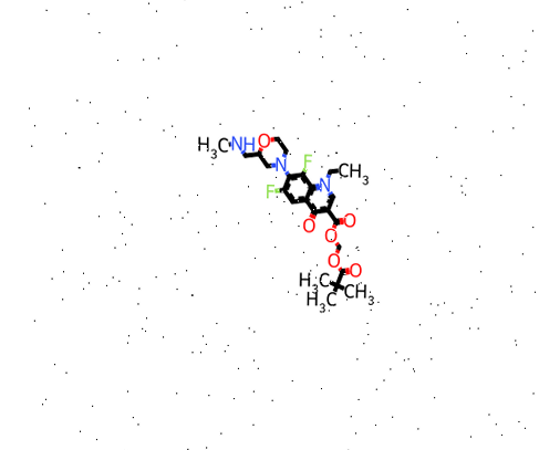 CCn1cc(C(=O)OCOC(=O)C(C)(C)C)c(=O)c2cc(F)c(N3CCOC(CNC)C3)c(F)c21